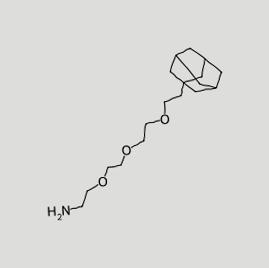 NCCOCCOCCOCCC12CC3CC(CC(C3)C1)C2